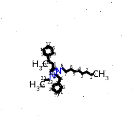 CCCCCCCCC[n+]1c(CC(C)c2ccccc2)cn(CCC)c1Cc1ccccc1